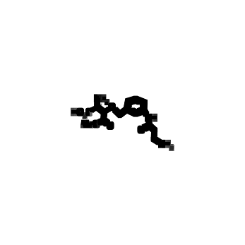 COC(=O)[C@H](OCc1cccc(NC(=O)CCN)c1)[C@H](N)C(=O)O